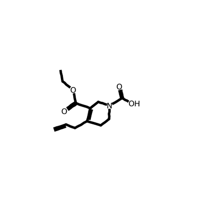 C=CCC1=C(C(=O)OCC)CN(C(=O)O)CC1